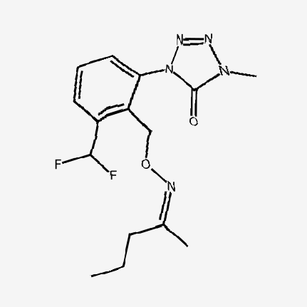 CCCC(C)=NOCc1c(C(F)F)cccc1-n1nnn(C)c1=O